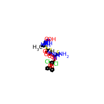 CC1=NC2=CN(C(=O)NO)NN2C(SCC2=C(C(=O)O)N3C(=O)[C@@H](NC(=O)/C(=N\OCc4cc(Cl)c5c(c4Cl)OC(c4ccccc4)(c4ccccc4)O5)c4csc(N)n4)[C@H]3SC2)=C1